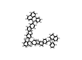 c1ccc(N(c2ccc3c(ccc4c5cc6c(cc5sc34)B3c4cc5sc7c8ccc(N(c9ccccc9)c9cccc%10ccccc9%10)cc8ccc7c5cc4Oc4cccc(c43)O6)c2)c2cccc3ccccc23)cc1